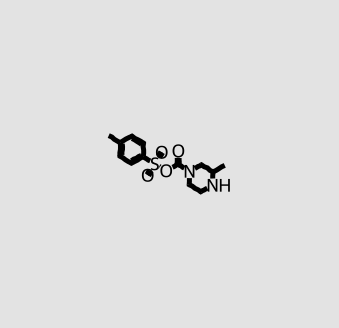 Cc1ccc(S(=O)(=O)OC(=O)N2CCNC(C)C2)cc1